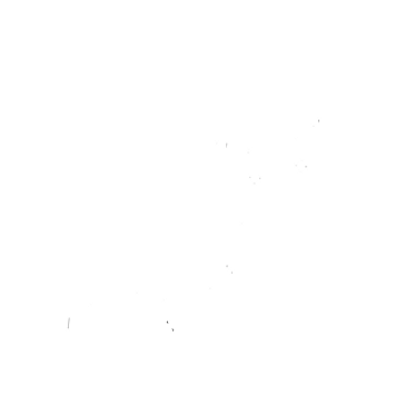 O=C(OCCCSc1cc(-c2cccc(F)c2)nc2ccccc12)c1cc2ccccc2oc1=O